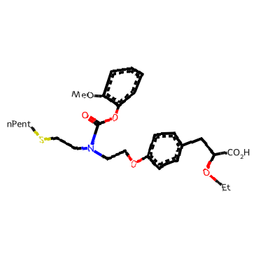 CCCCCSCCN(CCOc1ccc(CC(OCC)C(=O)O)cc1)C(=O)Oc1ccccc1OC